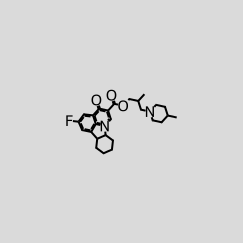 CC1CCN(CC(C)COC(=O)c2cn3c4c(cc(F)cc4c2=O)C2CCCCC23)CC1